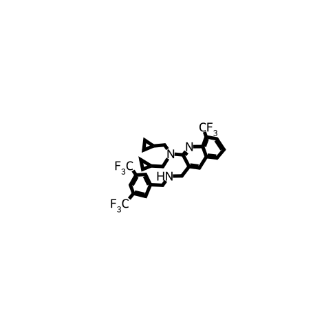 FC(F)(F)c1cc(CNCc2cc3cccc(C(F)(F)F)c3nc2N(CC2CC2)CC2CC2)cc(C(F)(F)F)c1